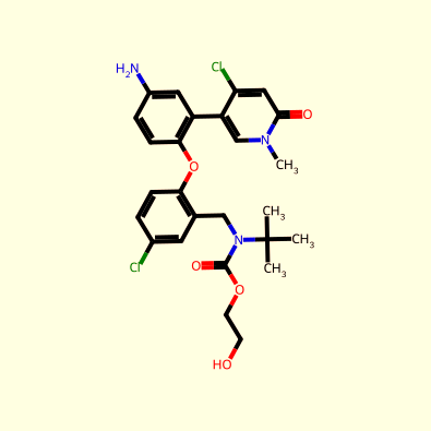 Cn1cc(-c2cc(N)ccc2Oc2ccc(Cl)cc2CN(C(=O)OCCO)C(C)(C)C)c(Cl)cc1=O